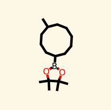 CC1CCCCCC(B2OC(C)(C)C(C)(C)O2)CCC1